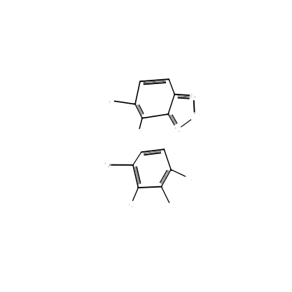 Clc1c(Br)ccc2nsnc12.Nc1ccc(Br)c(Cl)c1N